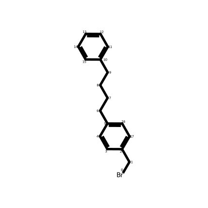 BrCc1ccc(CCCCc2ccccc2)cc1